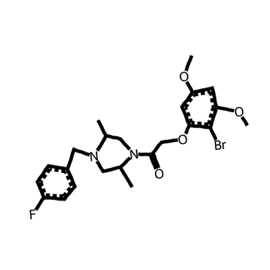 COc1cc(OC)c(Br)c(OCC(=O)N2CC(C)N(Cc3ccc(F)cc3)CC2C)c1